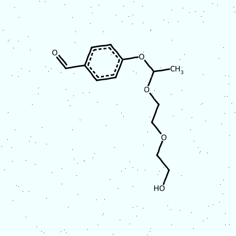 CC(OCCOCCO)Oc1ccc(C=O)cc1